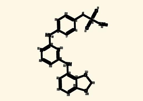 CNS(=O)(=O)Cc1ccc(Nc2nccc(Nc3cccc4c3OCO4)n2)cc1